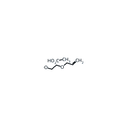 C=CCOCC[O].CC(=O)O